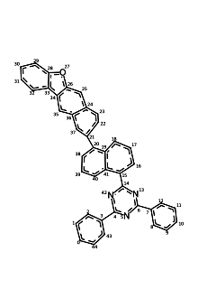 c1ccc(-c2nc(-c3ccccc3)nc(-c3cccc4c(-c5ccc6cc7oc8ccccc8c7cc6c5)cccc34)n2)cc1